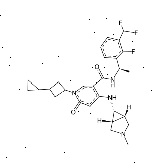 C[C@@H](NC(=O)c1cn(C2CC(C3CC3)C2)c(=O)cc1N[C@@H]1[C@@H]2CN(C)C[C@@H]21)c1cccc(C(F)F)c1F